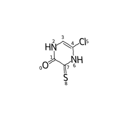 O=c1[nH]cc(Cl)[nH]c1=S